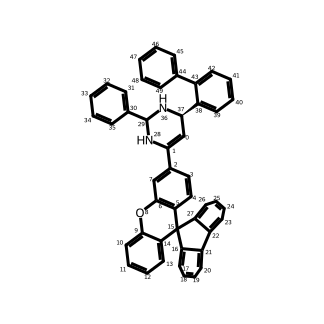 C1=C(c2ccc3c(c2)Oc2ccccc2C32c3ccccc3-c3ccccc32)NC(c2ccccc2)N[C@H]1c1ccccc1-c1ccccc1